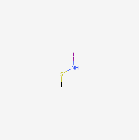 CSNI